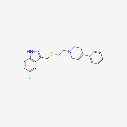 Fc1ccc2[nH]cc(CSCCN3CC=C(c4ccccc4)CC3)c2c1